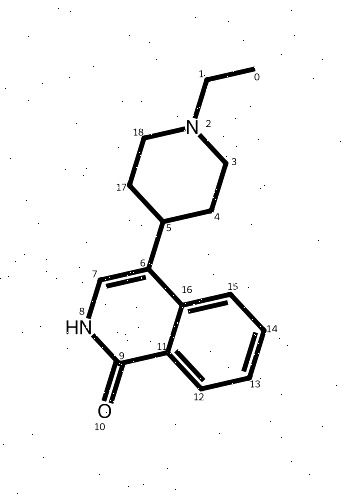 CCN1CCC(c2c[nH]c(=O)c3ccccc23)CC1